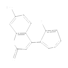 O=c1cc(-c2ccccc2F)c2ccc(O)cc2o1